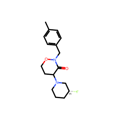 Cc1ccc(CN2OCCC(N3CCC[C@@H](F)C3)C2=O)cc1